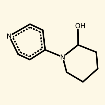 OC1CCCCN1c1ccncc1